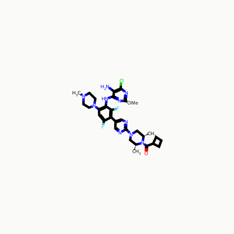 COc1nc(Cl)c(N)c(Nc2c(N3CCN(C)CC3)cc(F)c(-c3cnc(N4C[C@@H](C)N(C(=O)C5CCC5)[C@@H](C)C4)nc3)c2F)n1